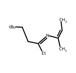 C/C=C(C)\N=C(/CC)CCC(C)(C)C